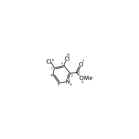 COC(=O)c1nccc(Cl)c1Cl